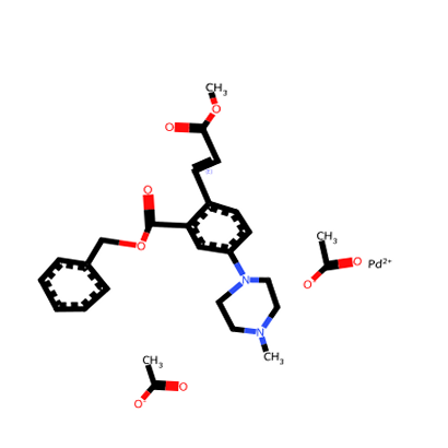 CC(=O)[O-].CC(=O)[O-].COC(=O)/C=C/c1ccc(N2CCN(C)CC2)cc1C(=O)OCc1ccccc1.[Pd+2]